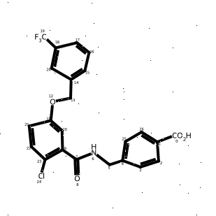 O=C(O)c1ccc(CNC(=O)c2cc(OCc3cccc(C(F)(F)F)c3)ccc2Cl)cc1